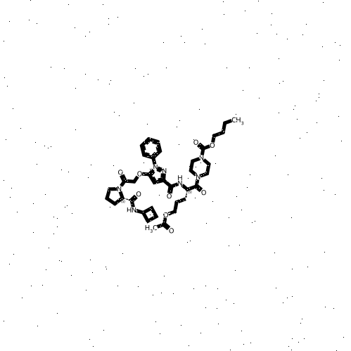 CCCCOC(=O)N1CCN(C(=O)[C@H](CCCOC(C)=O)NC(=O)c2cc(OCC(=O)N3CCC[C@H]3C(=O)NC3CCC3)n(-c3ccccc3)n2)CC1